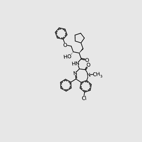 CN1C(=O)C(NC(=O)[C@H](CC2CCCC2)[C@H](O)COc2ccccc2)N=C(c2ccccc2)c2cc(Cl)ccc21